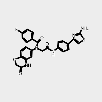 Nc1nc(-c2ccc(NC(=O)CN(C(=O)c3ccc(F)cc3)c3ccc4c(c3)NC(=O)CO4)cc2)cs1